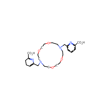 O=C(O)C1=NC(CN2CCOCCOCCN(Cc3cccc(C(=O)O)n3)CCOCCOCC2)=CCC1